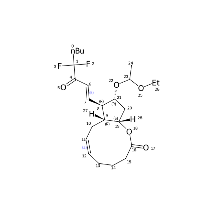 CCCCC(F)(F)C(=O)/C=C/[C@@H]1[C@H]2C/C=C\CCCC(=O)O[C@H]2C[C@H]1OC(C)OCC